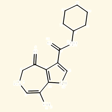 CC1=CNCC(=O)c2c(C(=O)NC3CCCCC3)c[nH]c21